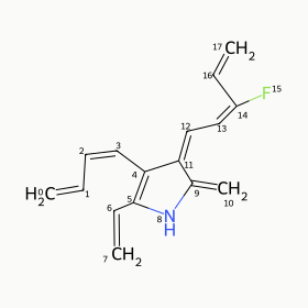 C=C/C=C\c1c(C=C)[nH]c(=C)/c1=C\C=C(\F)C=C